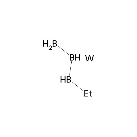 BBBCC.[W]